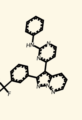 FC(F)(F)c1cccc(-c2nn3ncccc3c2-c2ccnc(Nc3ccccc3)n2)c1